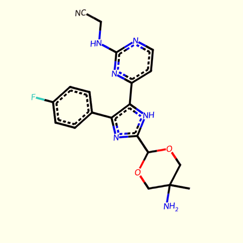 CC1(N)COC(c2nc(-c3ccc(F)cc3)c(-c3ccnc(NCC#N)n3)[nH]2)OC1